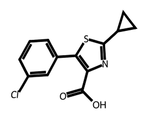 O=C(O)c1nc(C2CC2)sc1-c1cccc(Cl)c1